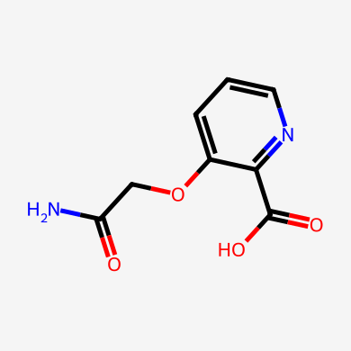 NC(=O)COc1cccnc1C(=O)O